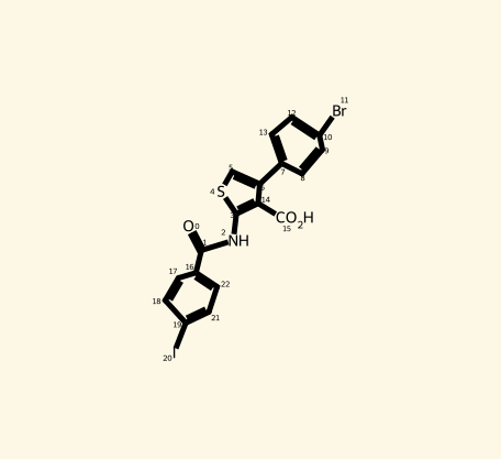 O=C(Nc1scc(-c2ccc(Br)cc2)c1C(=O)O)c1ccc(I)cc1